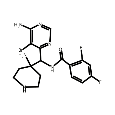 Nc1ncnc(C(NC(=O)c2ccc(F)cc2F)C2(N)CCNCC2)c1Br